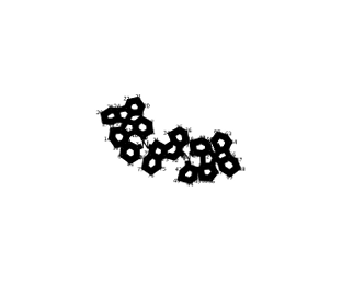 c1ccc(N(c2cccc3c2-c2ccccc2C32c3ccccc3-c3ccccc32)c2cc3c4ccccc4c(N(c4ccccc4)c4cccc5c4-c4ccccc4C54c5ccccc5-c5ccccc54)cc3c3ccccc23)cc1